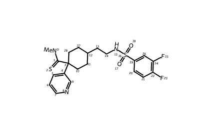 CNC(=S)C1(c2cccnc2)CCC(CCNS(=O)(=O)c2ccc(F)c(F)c2)CC1